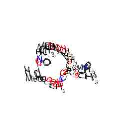 CO[C@H]1C[C@@H]2CCC(C)C(O)(O2)C(=O)C(=O)N2CCCC3C2C(=O)O[C@@H](CC(=O)[C@H](C)/C=C(\C)C(O)[C@@H](OC)C(=O)C(C)C[C@H](C)C2C=CC(/C=C/1C)ON2c1ccccc1)[C@H]3C[C@@H]1CCC(OC(=O)C(C)(C)Cc2ccccn2)[C@H](OC)C1